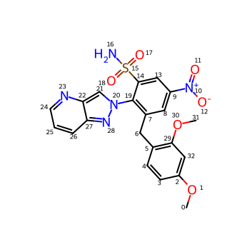 COc1ccc(Cc2cc([N+](=O)[O-])cc(S(N)(=O)=O)c2-n2cc3ncccc3n2)c(OC)c1